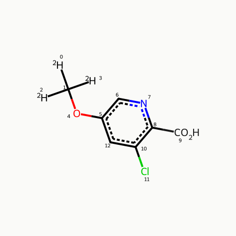 [2H]C([2H])([2H])Oc1cnc(C(=O)O)c(Cl)c1